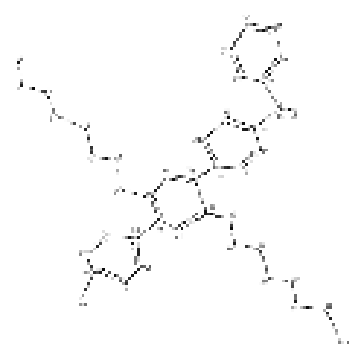 CCCCCCCCc1cc(-c2ccc(N(C)c3ccccc3)cc2)c(CCCCCCCC)cc1-c1ccc(C)cc1